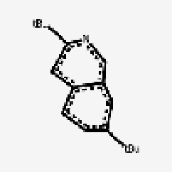 CC(C)(C)c1ccc2cc(C(C)(C)C)ncc2c1